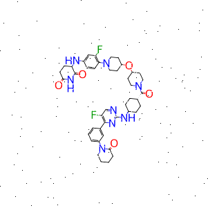 O=C1CCC(Nc2ccc(N3CCC(OC4CCN(C(=O)[C@H]5CC[C@H](Nc6ncc(F)c(-c7cccc(N8CCCCC8=O)c7)n6)CC5)CC4)CC3)c(F)c2)C(=O)N1